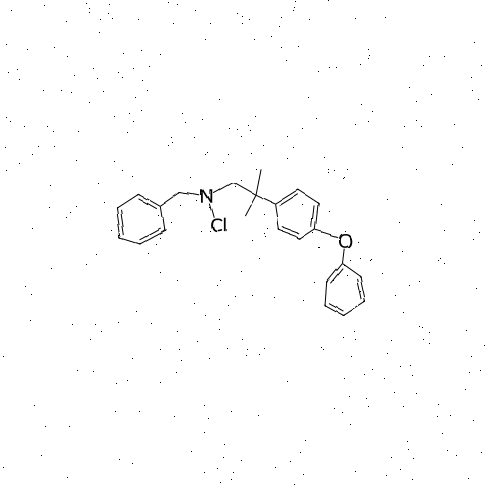 CC(C)(CN(Cl)Cc1ccccc1)c1ccc(Oc2ccccc2)cc1